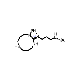 CCCCBCCC/N=C1\NCCCBCCCN1P